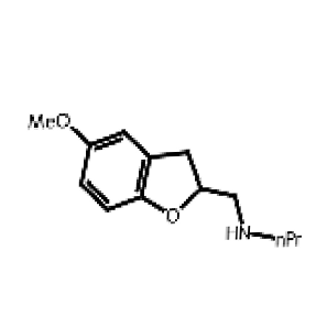 CCCNCC1Cc2cc(OC)ccc2O1